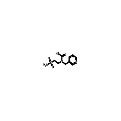 NS(=O)(=O)CCN(Cc1cccnc1)C(=S)S